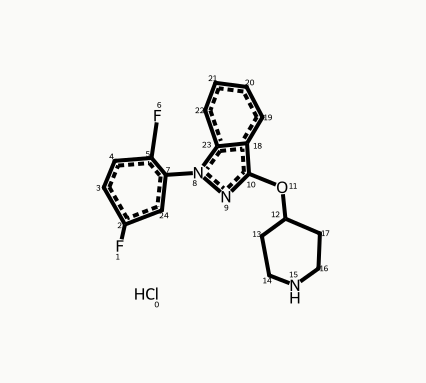 Cl.Fc1ccc(F)c(-n2nc(OC3CCNCC3)c3ccccc32)c1